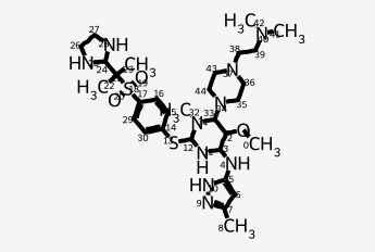 COC1C(Nc2cc(C)n[nH]2)NC(Sc2ccc(S(=O)(=O)C(C)(C)C3NCCN3)cc2)N(C)C1N1CCN(CCN(C)C)CC1